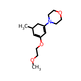 COCCOC1=CC(C)CC(N2CCOCC2)=C1